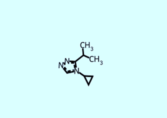 CC(C)c1nncn1C1CC1